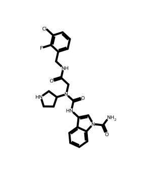 NC(=O)n1cc(NC(=O)N(CC(=O)NCc2cccc(Cl)c2F)C2CCNC2)c2ccccc21